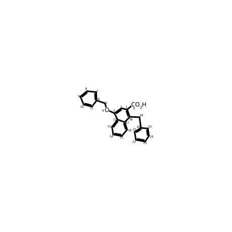 O=C(O)c1cc(OCc2ccccc2)c2ccccc2c1Cc1ccccc1